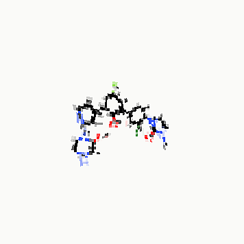 Cn1ccn(-c2ccc(-c3cc(F)cc(-c4ccnc(N5CCNCC5=O)c4)c3O)cc2Cl)c1=O